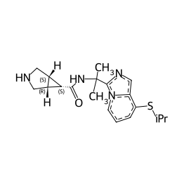 CC(C)Sc1cccn2c(C(C)(C)NC(=O)[C@@H]3[C@@H]4CNC[C@@H]43)ncc12